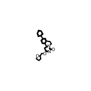 O=c1nc(OCC2CCCO2)cc2n1CCc1cc(-c3ccccc3)ccc1-2